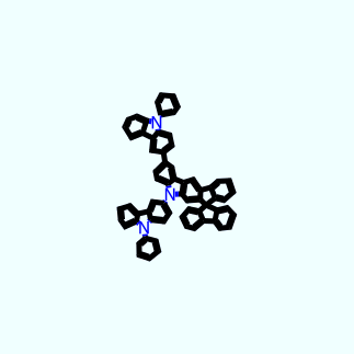 c1ccc(-n2c3ccccc3c3cc(-c4ccc5c(c4)c4cc6c(cc4n5-c4ccc5c(c4)c4ccccc4n5-c4ccccc4)C4(c5ccccc5-c5ccccc54)c4ccccc4-6)ccc32)cc1